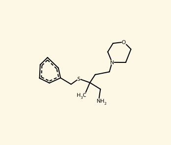 CC(CN)(CCN1CCOCC1)SCc1ccccc1